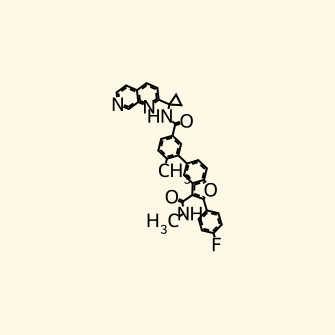 CNC(=O)c1c(-c2ccc(F)cc2)oc2ccc(-c3cc(C(=O)NC4(c5ccc6ccncc6n5)CC4)ccc3C)cc12